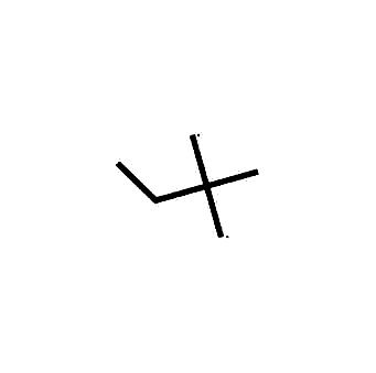 [CH2]C([CH2])(C)CC